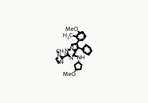 COc1cccc(-c2cn3nc(-c4nccn4C)nc(N[C@@H]4CC[C@@H](OC)C4)c3c2-c2ccccc2)c1C